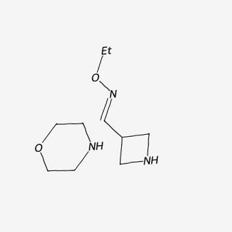 C1COCCN1.CCON=CC1CNC1